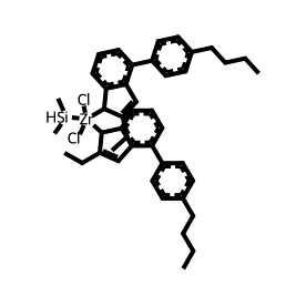 CCCCc1ccc(-c2cccc3c2C=C(CC)[CH]3[Zr]([Cl])([Cl])([CH]2C(CC)=Cc3c(-c4ccc(CCCC)cc4)cccc32)[SiH](C)C)cc1